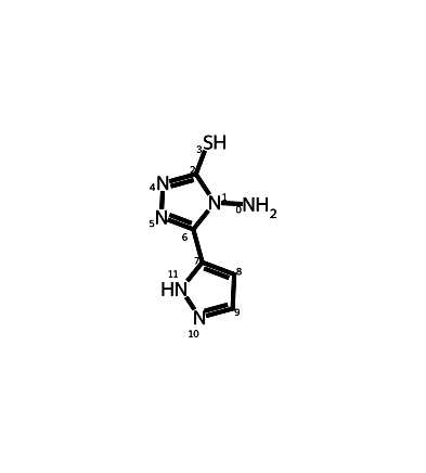 Nn1c(S)nnc1-c1ccn[nH]1